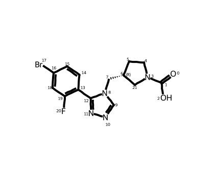 O=C(O)N1CC[C@@H](Cn2cnnc2-c2ccc(Br)cc2F)C1